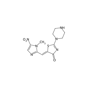 Cn1c([N+](=O)[O-])cnc1C=C1SC(N2CCNCC2)=NC1=O